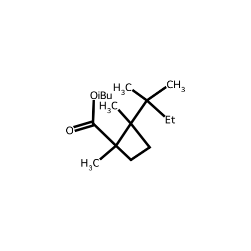 CCC(C)(C)C1(C)CCC1(C)C(=O)OCC(C)C